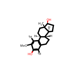 [2H]c1c(O)c(OC)c([2H])c2c1CC[C@@H]1[C@@H]2CC[C@]2(C)[C@@H](O)CC[C@@H]12